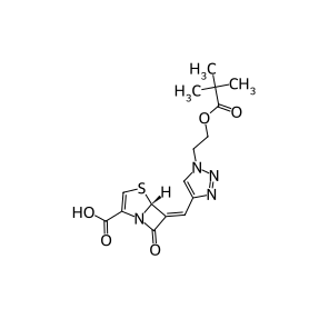 CC(C)(C)C(=O)OCCn1cc(/C=C2/C(=O)N3C(C(=O)O)=CS[C@H]23)nn1